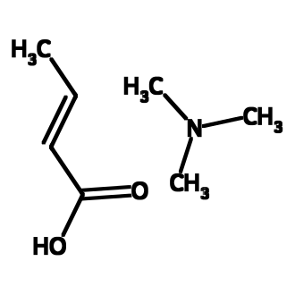 CC=CC(=O)O.CN(C)C